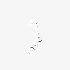 CC(C)(C)c1ccc(C(=O)NS(=O)(=O)c2cccc(NCCC[C@@H]3CN(C(=O)O)C(C)(C)C3)n2)c(Cl)n1